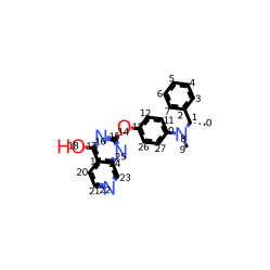 C[C@@H](c1ccccc1)N(C)c1ccc(Oc2nc(O)c3ccncc3n2)cc1